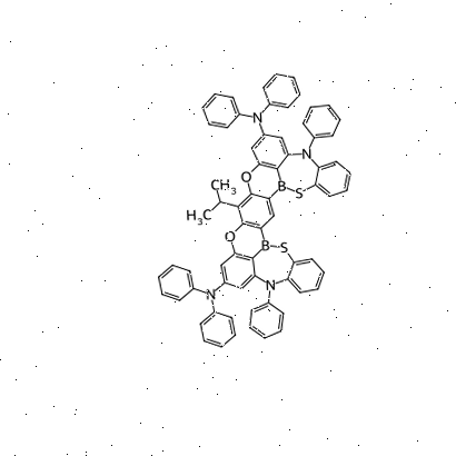 CC(C)c1c2c(cc3c1Oc1cc(N(c4ccccc4)c4ccccc4)cc4c1B3Sc1ccccc1N4c1ccccc1)B1Sc3ccccc3N(c3ccccc3)c3cc(N(c4ccccc4)c4ccccc4)cc(c31)O2